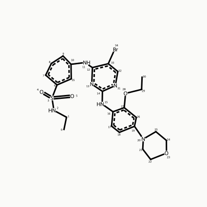 CCNS(=O)(=O)c1cccc(Nc2nc(Nc3ccc(N4CCOCC4)cc3OCC)ncc2Br)c1